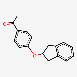 CC(=O)c1ccc(OC2Cc3ccccc3C2)cc1